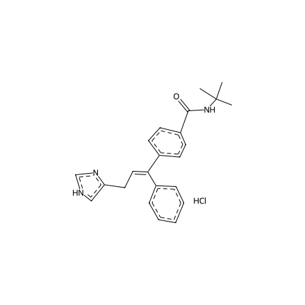 CC(C)(C)NC(=O)c1ccc(C(=CCc2c[nH]cn2)c2ccccc2)cc1.Cl